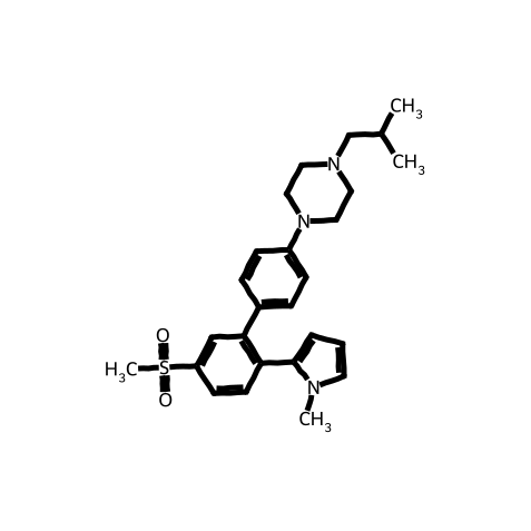 CC(C)CN1CCN(c2ccc(-c3cc(S(C)(=O)=O)ccc3-c3cccn3C)cc2)CC1